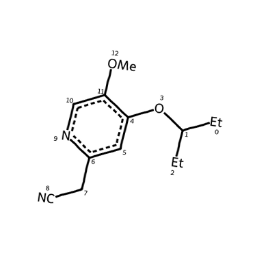 CCC(CC)Oc1cc(CC#N)ncc1OC